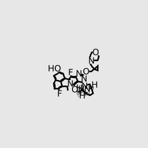 CCc1c(F)ccc2cc(O)cc(-c3nc4c5c(nc(OCC6(CN7CCOCC7)CC6)nc5c3F)N3C[C@H]5CC[C@H](N5)[C@H]3[C@H](C)O4)c12